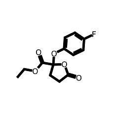 CCOC(=O)C1(Oc2ccc(F)cc2)CCC(=O)O1